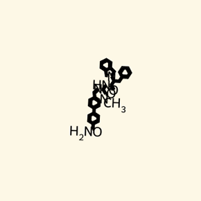 CN1C(=O)C(NC(=O)C(Cc2ccccc2)N2Cc3ccccc3C2)N=Cc2ccc(-c3ccc(C(N)=O)cc3)cc21